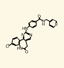 O=C1Cc2cnc(Nc3ccc(C(=O)NCc4ccncc4)cc3)nc2-c2ccc(Cl)cc2N1